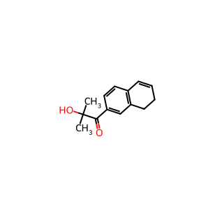 CC(C)(O)C(=O)c1ccc2c(c1)CCC=C2